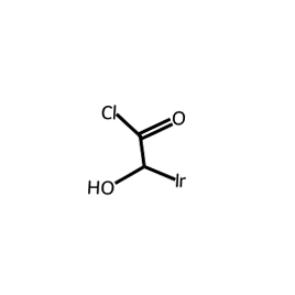 O=C(Cl)[CH](O)[Ir]